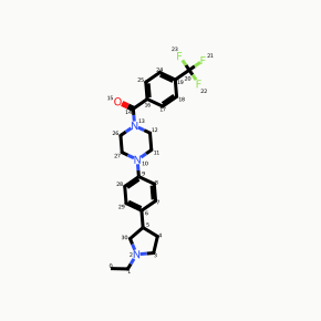 CCN1CCC(c2ccc(N3CCN(C(=O)c4ccc(C(F)(F)F)cc4)CC3)cc2)C1